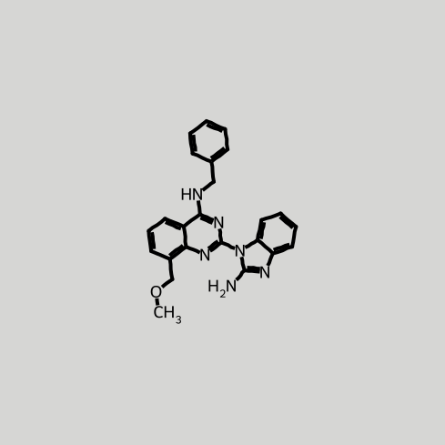 COCc1cccc2c(NCc3ccccc3)nc(-n3c(N)nc4ccccc43)nc12